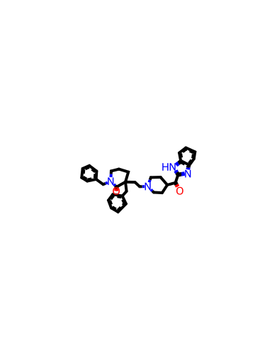 O=C(c1nc2ccccc2[nH]1)C1CCN(CCC2(Cc3ccccc3)CCCN(Cc3ccccc3)C2=O)CC1